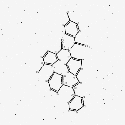 Cc1ccc(C(=O)N(C(=O)c2ccc(C)cc2)c2ccc(C=C(c3ccccc3)c3ccccc3)cc2)cc1